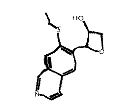 CCSc1cc2cnccc2cc1C1OCC1O